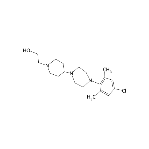 Cc1cc(Cl)cc(C)c1N1CCN(C2CCN(CCO)CC2)CC1